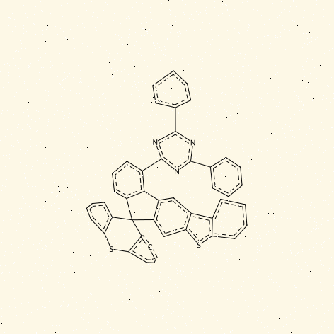 c1ccc(-c2nc(-c3ccccc3)nc(-c3cccc4c3-c3cc5c(cc3C43c4ccccc4Sc4ccccc43)sc3ccccc35)n2)cc1